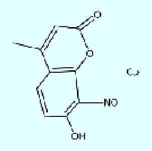 Cc1cc(=O)oc2c(N=O)c(O)ccc12.[Cu]